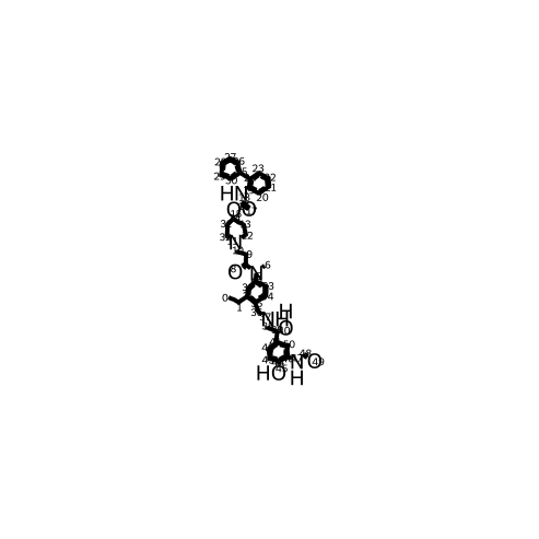 CCc1cc(N(C)C(=O)CCN2CCC(OC(=O)Nc3ccccc3-c3ccccc3)CC2)ccc1CNCC(O)c1ccc(O)c(NC=O)c1